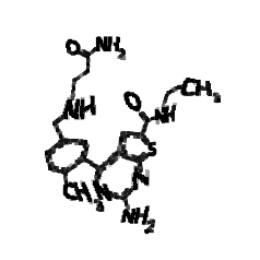 CCNC(=O)c1cc2c(-c3cc(CNCCC(N)=O)ccc3C)nc(N)nc2s1